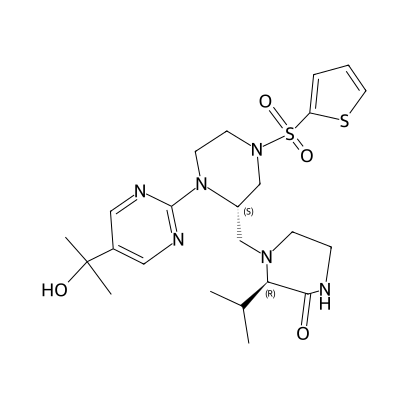 CC(C)[C@@H]1C(=O)NCCN1C[C@H]1CN(S(=O)(=O)c2cccs2)CCN1c1ncc(C(C)(C)O)cn1